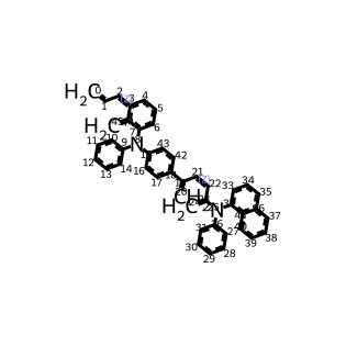 C=C/C=c1/cccc(N(c2ccccc2)c2ccc(C(=C)/C=C\C(=C)N(c3ccccc3)c3cccc4ccccc34)cc2)c1=C